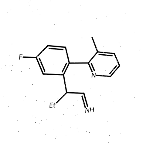 CCC(C=N)c1cc(F)ccc1-c1ncccc1C